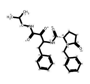 CC(C)ONC(=O)C(=O)C(Cc1ccccc1)NC(=O)[C@@H]1CCC(=O)N1Cc1ccccc1